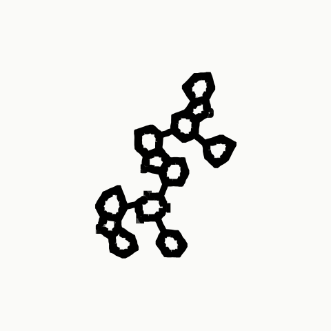 c1ccc(-c2nc(-c3cccc4c3sc3cccc(-c5cc(-c6ccccc6)c6oc7ccccc7c6c5)c34)nc(-c3cccc4sc5ccccc5c34)n2)cc1